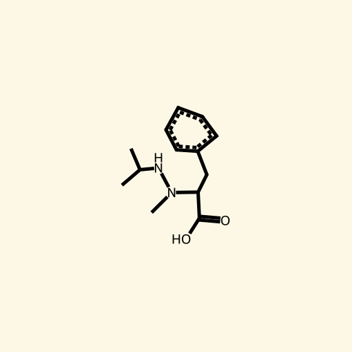 CC(C)NN(C)C(Cc1ccccc1)C(=O)O